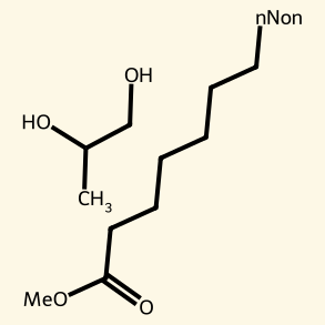 CC(O)CO.CCCCCCCCCCCCCCCC(=O)OC